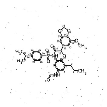 CCCc1cc(NC=O)ccc1OC(C(=O)NS(=O)(=O)c1ccc(C(C)C)cc1)c1cc(OC)c2c(c1)OCO2